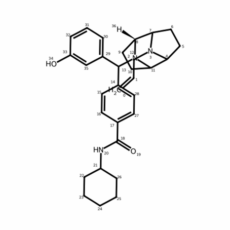 C=CCN1C2CCC1[C@H]1CCC2N1C(c1ccc(C(=O)NC2CCCCC2)cc1)c1cccc(O)c1